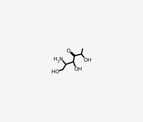 CC(O)C(=O)C(O)C(N)CO